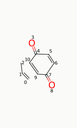 C=CC.O=C1C=CC(=O)C=C1